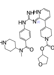 CN(C(=O)c1ccc(NC(=N)/N=c2\[nH]cccc2C2=CCN(C(=O)OC3CCOC3)CC2)cc1)C1CCNCC1